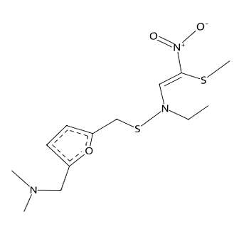 CCN(C=C(SC)[N+](=O)[O-])SCc1ccc(CN(C)C)o1